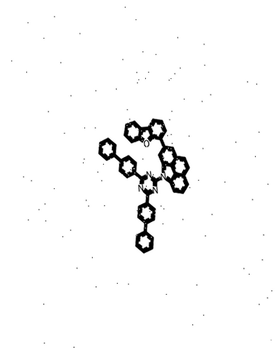 c1ccc(-c2ccc(-c3nc(-c4ccc(-c5ccccc5)cc4)nc(-n4c5cccc6ccc7cc(-c8cccc9c8oc8ccccc89)cc4c7c65)n3)cc2)cc1